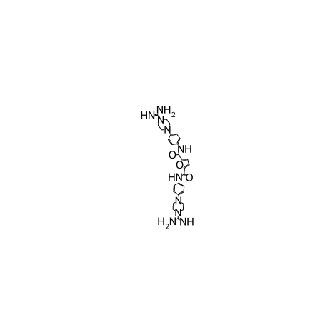 N=C(N)N1CCN(c2ccc(NC(=O)c3ccc(C(=O)Nc4ccc(N5CCN(C(=N)N)CC5)cc4)o3)cc2)CC1